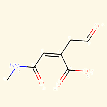 CNC(=O)/C=C(/CC=O)C(=O)O